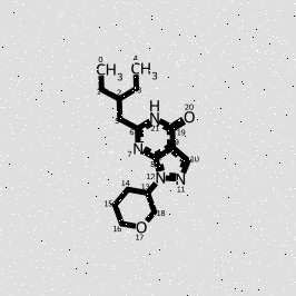 CCC(CC)Cc1nc2c(cnn2C2CCCOC2)c(=O)[nH]1